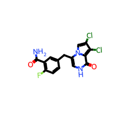 NC(=O)c1cc(Cc2c[nH]c(=O)c3c(Cl)c(Cl)cn23)ccc1F